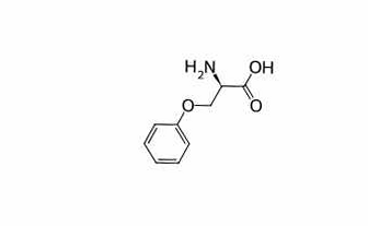 N[C@H](COc1ccccc1)C(=O)O